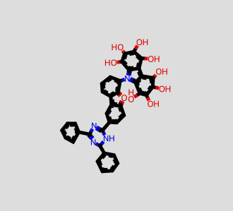 Oc1c(O)c(O)c2c(c1O)c1c(O)c(O)c(O)c(O)c1n2-c1cccc2c1oc1ccc(C3=NC(c4ccccc4)=NC(c4ccccc4)N3)cc12